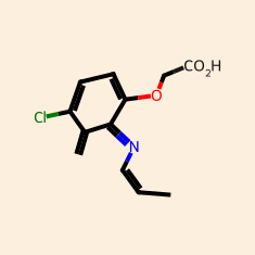 C=C1C(Cl)=CC=C(OCC(=O)O)/C1=N/C=C\C